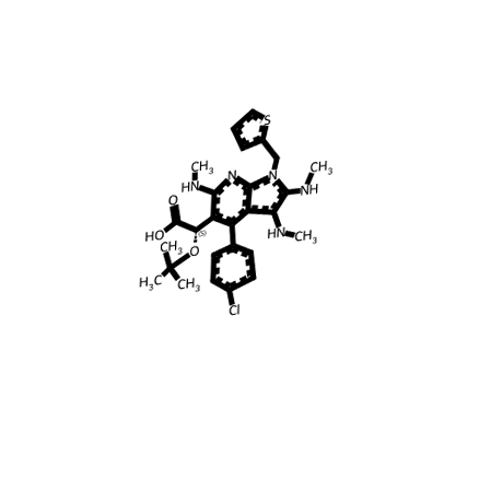 CNc1nc2c(c(NC)c(NC)n2Cc2cccs2)c(-c2ccc(Cl)cc2)c1[C@H](OC(C)(C)C)C(=O)O